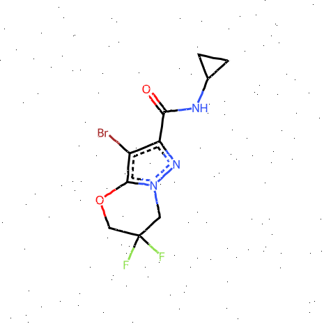 O=C(NC1CC1)c1nn2c(c1Br)OCC(F)(F)C2